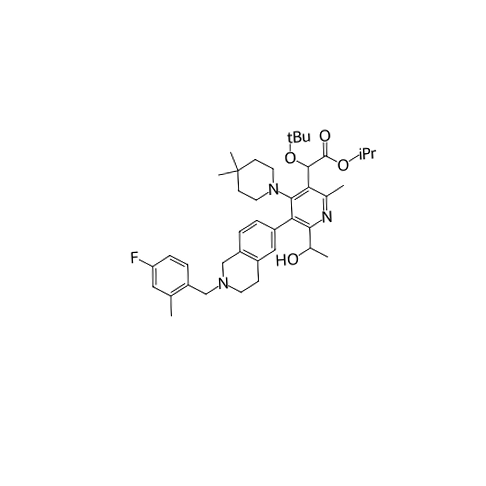 Cc1cc(F)ccc1CN1CCc2cc(-c3c(C(C)O)nc(C)c(C(OC(C)(C)C)C(=O)OC(C)C)c3N3CCC(C)(C)CC3)ccc2C1